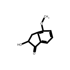 COc1cccc2c1CC(O)C2=O